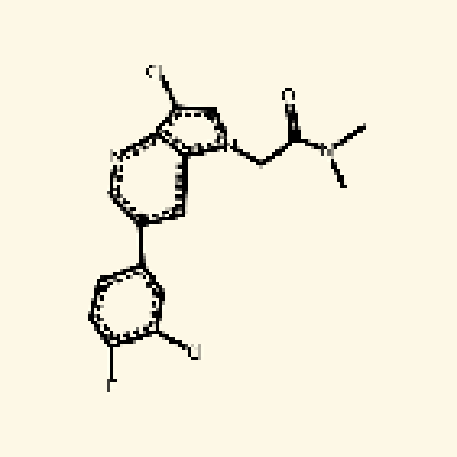 CN(C)C(=O)Cn1cc(Cl)c2ncc(-c3ccc(F)c(Cl)c3)cc21